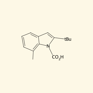 Cc1cccc2cc(C(C)(C)C)n(C(=O)O)c12